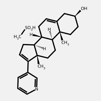 CS(=O)(=O)O.C[C@]12CC[C@H](O)CC1=CC[C@@H]1[C@@H]2CC[C@]2(C)C(c3cccnc3)=CC[C@@H]12